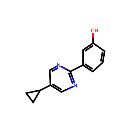 Oc1cccc(-c2ncc(C3CC3)cn2)c1